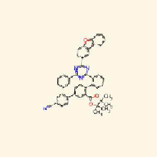 CC1(C)OB(c2cc(-c3ccc(C#N)cc3)ccc2-c2ccccc2-c2nc(-c3ccccc3)nc(-c3ccc4oc5ccccc5c4c3)n2)OC1(C)C